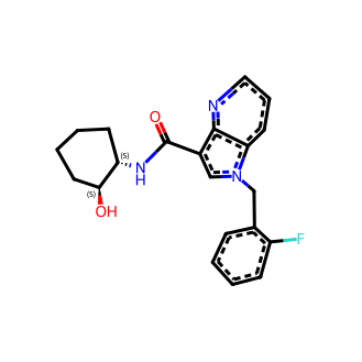 O=C(N[C@H]1CCCC[C@@H]1O)c1cn(Cc2ccccc2F)c2cccnc12